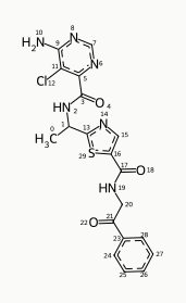 CC(NC(=O)c1ncnc(N)c1Cl)c1ncc(C(=O)NCC(=O)c2ccccc2)s1